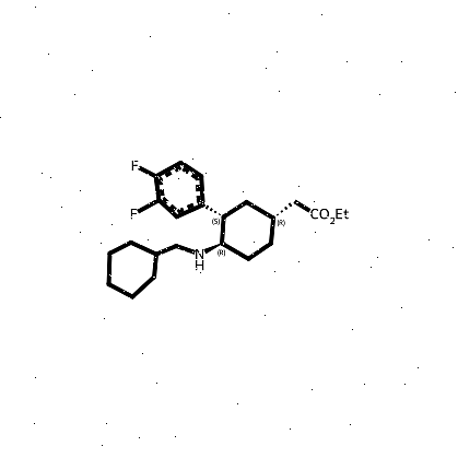 CCOC(=O)C[C@@H]1CC[C@@H](NCC2CCCCC2)[C@H](c2ccc(F)c(F)c2)C1